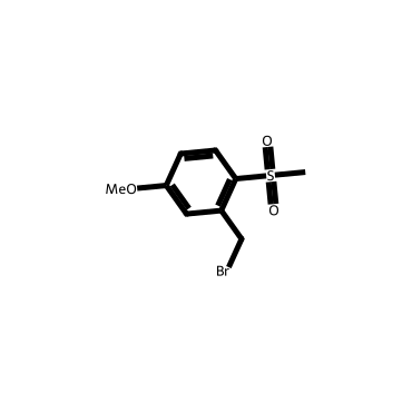 COc1ccc(S(C)(=O)=O)c(CBr)c1